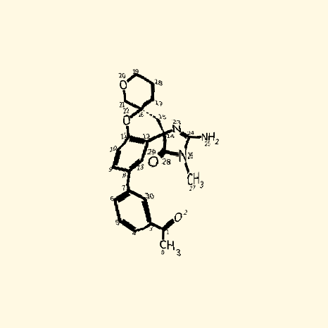 CC(=O)c1cccc(-c2ccc3c(c2)[C@]2(C[C@]4(CCCOC4)O3)N=C(N)N(C)C2=O)c1